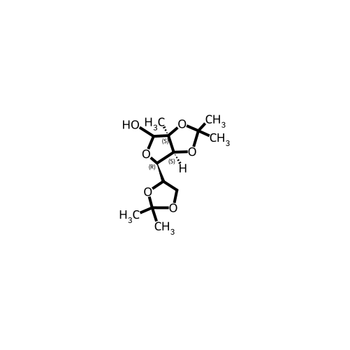 CC1(C)OCC([C@H]2OC(O)[C@@]3(C)OC(C)(C)O[C@@H]23)O1